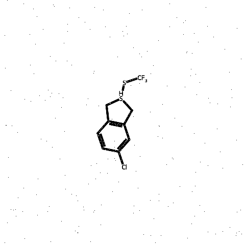 FC(F)(F)S[SH]1Cc2ccc(Cl)cc2C1